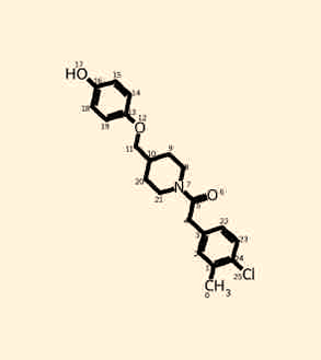 Cc1cc(CC(=O)N2CCC(COc3ccc(O)cc3)CC2)ccc1Cl